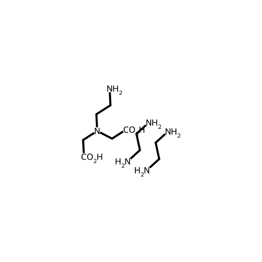 NCCN.NCCN.NCCN(CC(=O)O)CC(=O)O